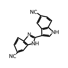 N#Cc1ccc2nc(-c3c[nH]c4ccc(C#N)cc34)[nH]c2c1